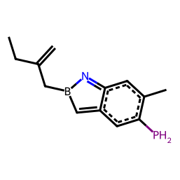 C=C(CC)CB1C=c2cc(P)c(C)cc2=N1